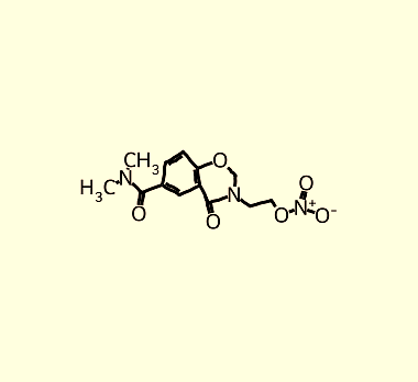 CN(C)C(=O)c1ccc2c(c1)C(=O)N(CCO[N+](=O)[O-])CO2